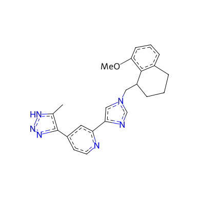 COc1cccc2c1C(Cn1cnc(-c3cc(-c4nn[nH]c4C)ccn3)c1)CCC2